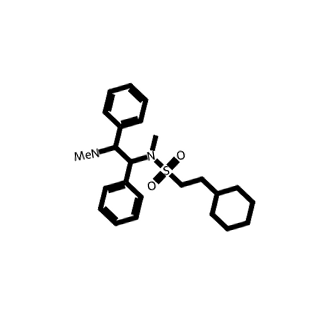 CNC(c1ccccc1)C(c1ccccc1)N(C)S(=O)(=O)CCC1CCCCC1